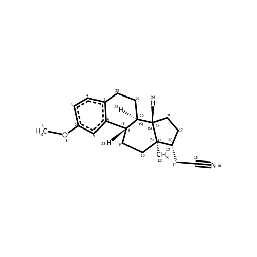 COc1[c]cc2c(c1)[C@H]1CC[C@]3(C)[C@@H](CC#N)CC[C@H]3[C@@H]1CC2